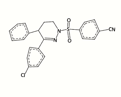 N#Cc1ccc(S(=O)(=O)N2CCC(c3ccccc3)C(c3ccc(Cl)cc3)=N2)cc1